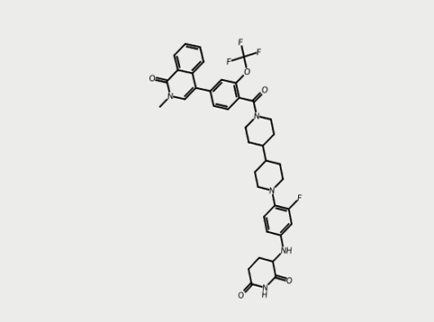 Cn1cc(-c2ccc(C(=O)N3CCC(C4CCN(c5ccc(NC6CCC(=O)NC6=O)cc5F)CC4)CC3)c(OC(F)(F)F)c2)c2ccccc2c1=O